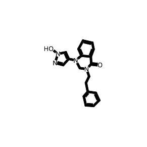 O=C1c2ccccc2N(c2cnn(O)c2)CN1CCc1ccccc1